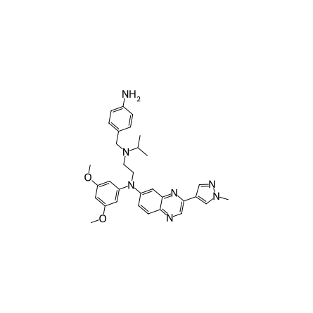 COc1cc(OC)cc(N(CCN(Cc2ccc(N)cc2)C(C)C)c2ccc3ncc(-c4cnn(C)c4)nc3c2)c1